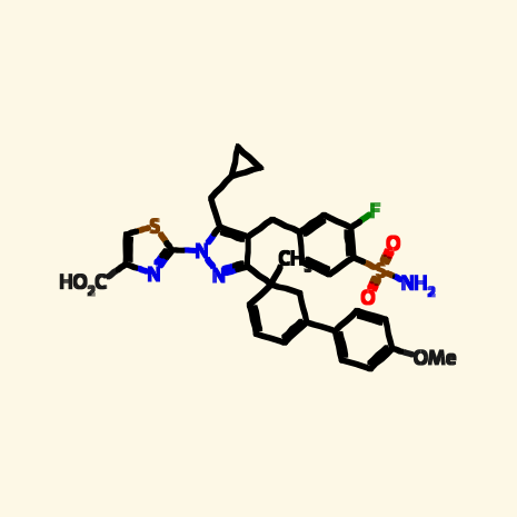 COc1ccc(C2=CC=CC(C)(c3nn(-c4nc(C(=O)O)cs4)c(CC4CC4)c3Cc3ccc(S(N)(=O)=O)c(F)c3)C2)cc1